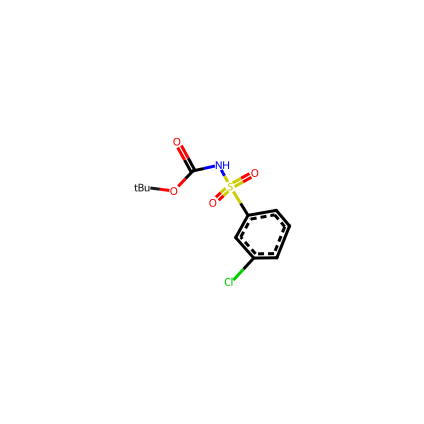 CC(C)(C)OC(=O)NS(=O)(=O)c1cccc(Cl)c1